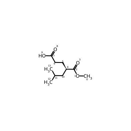 COC(=O)[C@H](CCC(=O)O)CC(C)C